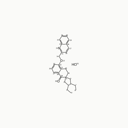 CCCCC1(CCCC)CCc2c(OCc3ccc4ccccc4n3)cccc2C1=O.Cl